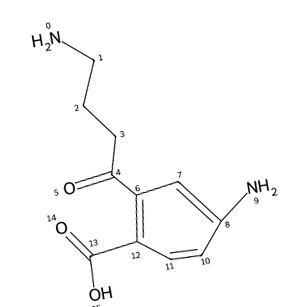 NCCCC(=O)c1cc(N)ccc1C(=O)O